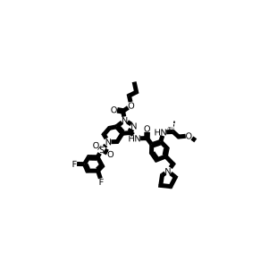 CCCOC(=O)n1nc(NC(=O)c2ccc(CN3CCCC3)cc2N[C@H](C)COC)c2c1CCN(S(=O)(=O)c1cc(F)cc(F)c1)C2